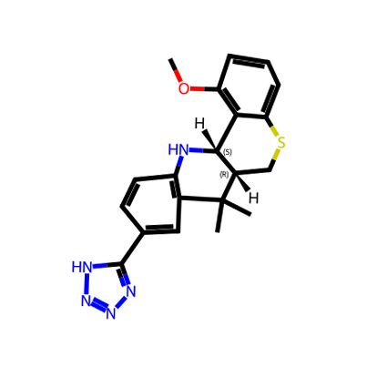 COc1cccc2c1[C@H]1Nc3ccc(-c4nnn[nH]4)cc3C(C)(C)[C@H]1CS2